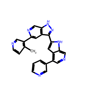 Cc1ccncc1-c1cc2c(-c3cc4c(-c5cccnc5)cncc4[nH]3)n[nH]c2cn1